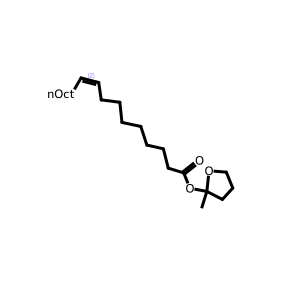 CCCCCCCC/C=C\CCCCCCCC(=O)OC1(C)CCCO1